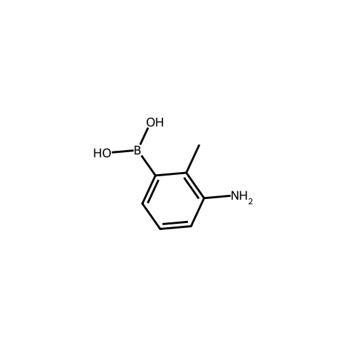 Cc1c(N)cccc1B(O)O